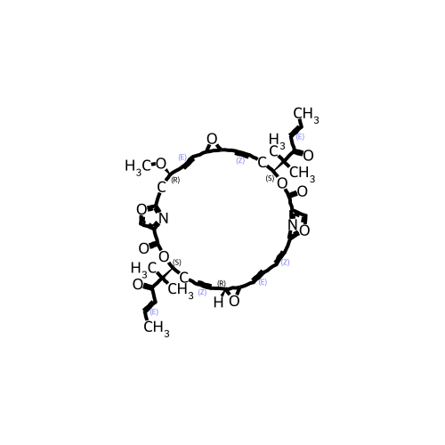 C/C=C/C(=O)C(C)(C)[C@@H]1C/C=C\C2OC2/C=C/[C@H](OC)Cc2nc(co2)C(=O)O[C@H](C(C)(C)C(=O)/C=C/C)C/C=C\[C@H]2OC2/C=C/C=C\c2nc(co2)C(=O)O1